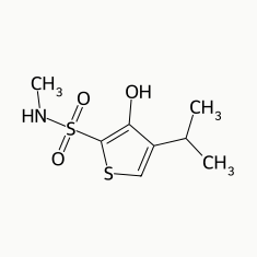 CNS(=O)(=O)c1scc(C(C)C)c1O